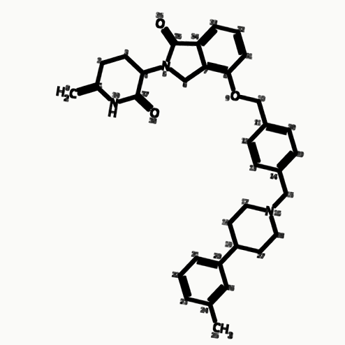 C=C1CCC(N2Cc3c(OCc4ccc(CN5CCC(c6cccc(C)c6)CC5)cc4)cccc3C2=O)C(=O)N1